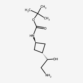 CC(C)(C)OC(=O)N[C@H]1C[C@H](C(O)CN)C1